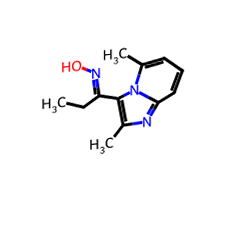 CCC(=NO)c1c(C)nc2cccc(C)n12